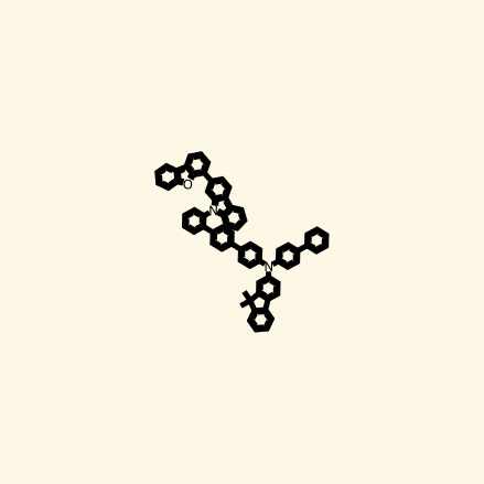 CC1(C)c2ccccc2-c2ccc(N(c3ccc(-c4ccccc4)cc3)c3ccc(-c4ccc(-c5ccccc5-n5c6ccccc6c6ccc(-c7cccc8c7oc7ccccc78)cc65)cc4)cc3)cc21